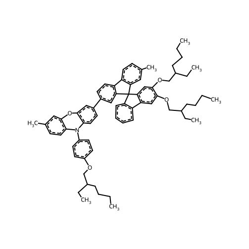 CCCCC(CC)COc1ccc(N2c3ccc(C)cc3Oc3cc(-c4ccc5c(c4)C4(c6ccccc6-c6cc(OCC(CC)CCCC)c(OCC(CC)CCCC)cc64)c4cc(C)ccc4-5)ccc32)cc1